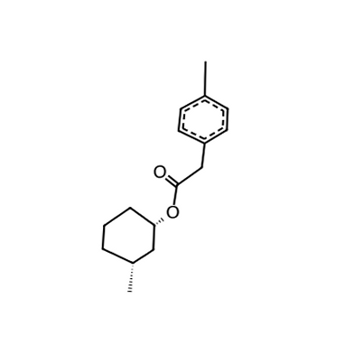 Cc1ccc(CC(=O)O[C@H]2CCC[C@@H](C)C2)cc1